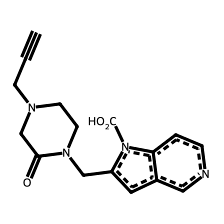 C#CCN1CCN(Cc2cc3cnccc3n2C(=O)O)C(=O)C1